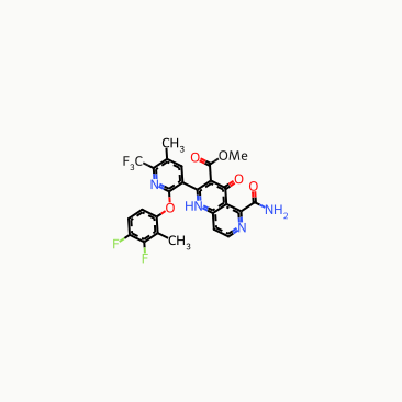 COC(=O)c1c(-c2cc(C)c(C(F)(F)F)nc2Oc2ccc(F)c(F)c2C)[nH]c2ccnc(C(N)=O)c2c1=O